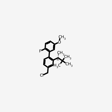 COc1ccc(F)c(-c2ccc(CCl)cc2[C@H](C)C(C)(C)C)c1